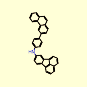 c1cc2c3c(cccc3c1)-c1cc(Nc3ccc(-c4ccc5ccc6ccccc6c5c4)cc3)ccc1-2